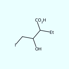 CCC(C(=O)O)C(O)CI